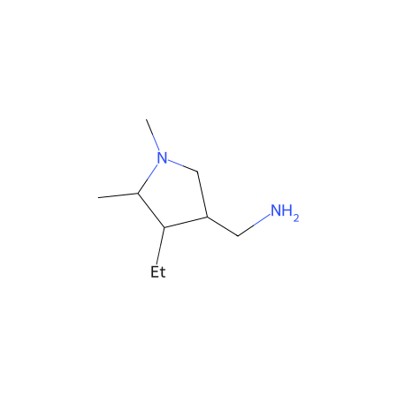 CCC1C(CN)CN(C)C1C